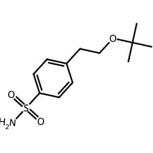 CC(C)(C)OCCc1ccc(S(N)(=O)=O)cc1